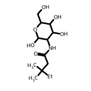 CCC(C)(C)CC(=O)NC1C(O)OC(CO)C(O)C1O